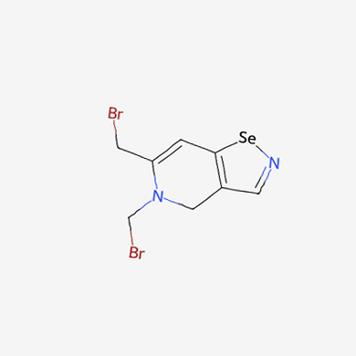 BrCC1=Cc2[se]ncc2CN1CBr